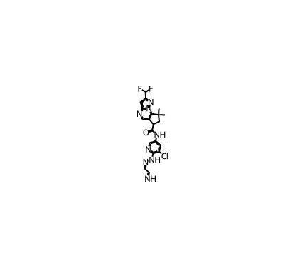 CC1(C)CC(C(=O)Nc2cnc(N/N=C\C=N)c(Cl)c2)c2cnc3cc(C(F)F)nn3c21